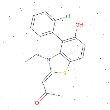 CCN1C(=CC(C)=O)Sc2ccc(O)c(-c3ccccc3Cl)c21